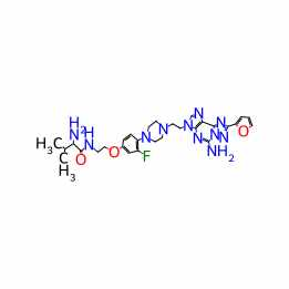 CC(C)C(N)C(=O)NCCOc1ccc(N2CCN(CCn3cnc4c3nc(N)n3nc(-c5ccco5)nc43)CC2)c(F)c1